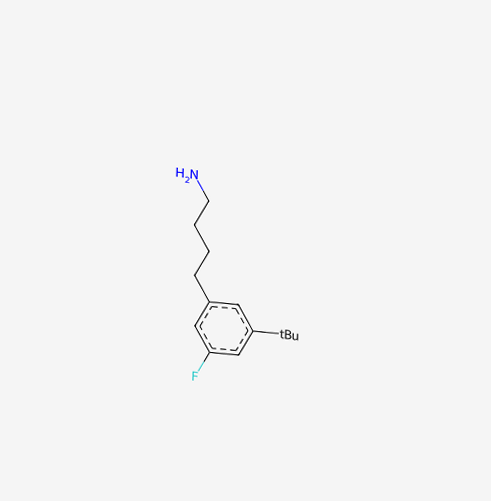 CC(C)(C)c1cc(F)cc(CCCCN)c1